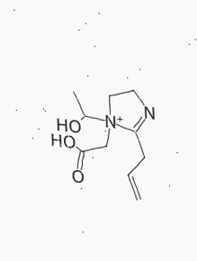 C=CCC1=NCC[N+]1(CC(=O)O)C(C)O